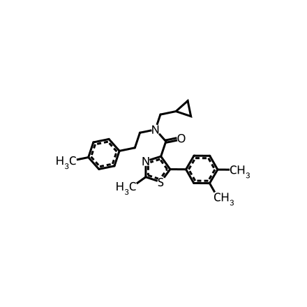 Cc1ccc(CCN(CC2CC2)C(=O)c2nc(C)sc2-c2ccc(C)c(C)c2)cc1